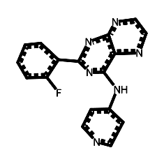 Fc1ccccc1-c1nc(Nc2ccncc2)c2nccnc2n1